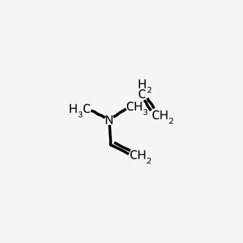 C=C.C=CN(C)C